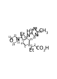 CCC(CC(=O)O)c1ccc(C(CC)N2CCOCC2)c(Nc2cnc(C)nc2)c1